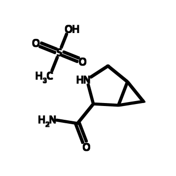 CS(=O)(=O)O.NC(=O)C1NCC2CC21